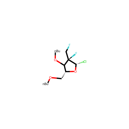 CCCCOC[C@H]1O[C@@H](Cl)[C@@](F)(CF)C1OCCCC